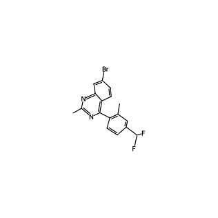 Cc1nc(-c2ccc(C(F)F)cc2C)c2ccc(Br)cc2n1